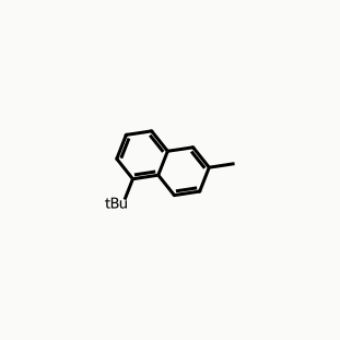 Cc1ccc2c(C(C)(C)C)cccc2c1